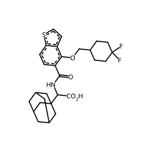 O=C(NC(C(=O)O)C12CC3CC(CC(C3)C1)C2)c1ccc2sccc2c1OCC1CCC(F)(F)CC1